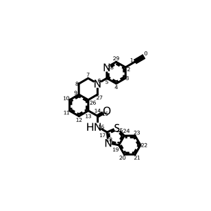 C#Cc1ccc(N2CCc3cccc(C(=O)Nc4nc5ccccc5s4)c3C2)nc1